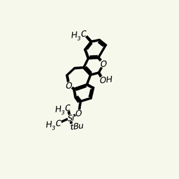 Cc1ccc2c(c1)C1=C(c3ccc(O[Si](C)(C)C(C)(C)C)cc3OCC1)C(O)O2